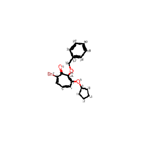 O=c1c(Br)cccc(OC2CCCC2)c1OCc1ccccc1